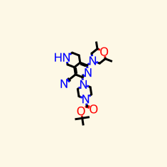 CC1CN(c2nc(N3CCN(C(=O)OC(C)(C)C)CC3)c(C#N)c3c2CCNC3)CC(C)O1